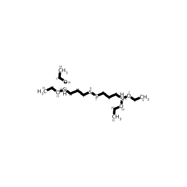 CCO[SiH](CCCSSCCC[SiH](OCC)OCC)OCC